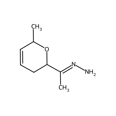 CC(=NN)C1CC=CC(C)O1